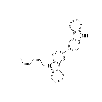 CC/C=C\C=C/Cn1c2ccccc2c2cc(-c3ccc4[nH]c5ccccc5c4c3)ccc21